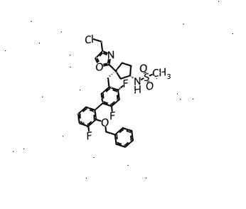 CS(=O)(=O)N[C@H]1CC[C@](Cc2cc(-c3cccc(F)c3OCc3ccccc3)c(F)cc2F)(c2nc(CCl)co2)C1